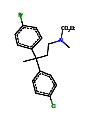 CCOC(=O)N(C)CCC(C)(c1ccc(Cl)cc1)c1ccc(Br)cc1